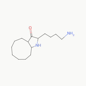 NCCCCC1NC2CCCCCCCC2C1=O